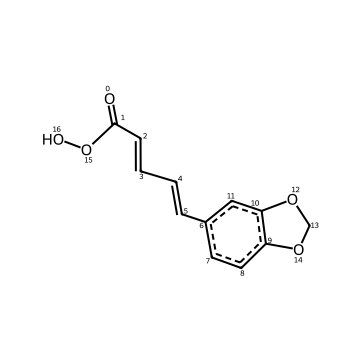 O=C(C=CC=Cc1ccc2c(c1)OCO2)OO